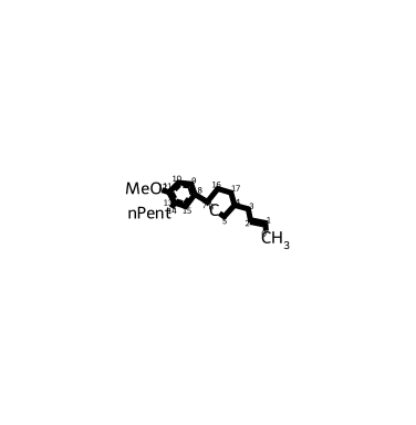 C/C=C/CC1CCC(c2ccc(OC)c(CCCCC)c2)CC1